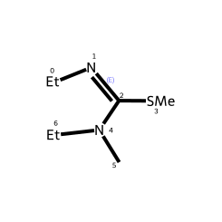 CC/N=C(/SC)N(C)CC